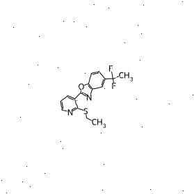 CCSc1ncccc1-c1nc2cc(C(C)(F)F)ccc2o1